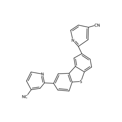 N#Cc1ccnc(-c2ccc3sc4ccc(-c5cc(C#N)ccn5)cc4c3c2)c1